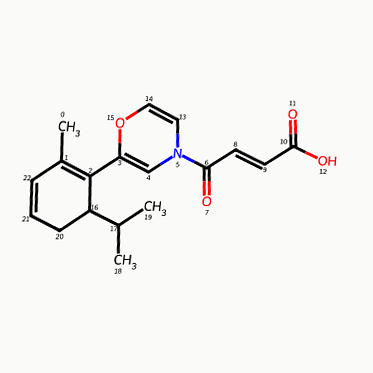 CC1=C(C2=CN(C(=O)/C=C/C(=O)O)C=CO2)C(C(C)C)CC=C1